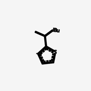 CCC(C)C(C)c1[c]ccs1